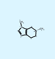 C[C@@H]1CCc2ncn(C)c2C1